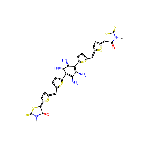 CN1C(=O)/C(=c2/cc/c(=C\c3ccc(C4=C(N)C(N)=C(c5ccc(/C=c6\cc/c(=C7\SC(=S)N(C)C7=O)s6)s5)C(=N)C4=N)s3)s2)SC1=S